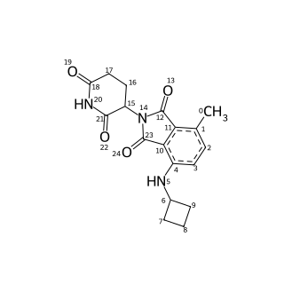 Cc1ccc(NC2CCC2)c2c1C(=O)N(C1CCC(=O)NC1=O)C2=O